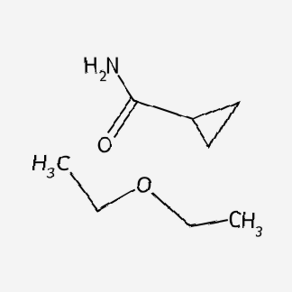 CCOCC.NC(=O)C1CC1